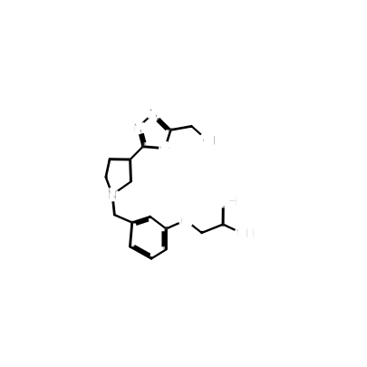 CC(C)COc1cccc(CN2CCC(c3nnc(CO)o3)C2)c1